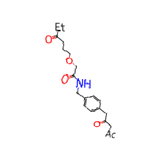 CCC(=O)CCCOCC(=O)NCc1ccc(CC(=O)CC(C)=O)cc1